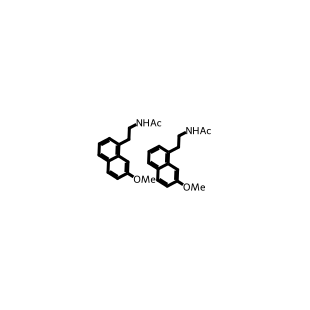 COc1ccc2cccc(CCNC(C)=O)c2c1.COc1ccc2cccc(CCNC(C)=O)c2c1